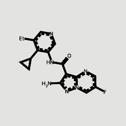 CCc1cncc(NC(=O)c2c(N)nn3cc(F)cnc23)c1C1CC1